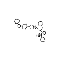 O=C(Nc1ccccc1)C(CCN1CCC(c2ccc(Oc3ccccc3)cc2)CC1)Cc1ccccc1